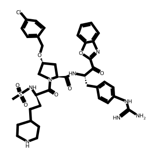 CS(=O)(=O)N[C@H](CCC1CCNCC1)C(=O)N1C[C@H](OCc2ccc(Cl)cc2)C[C@H]1C(=O)N[C@@H](Cc1ccc(NC(=N)N)cc1)C(=O)c1nc2ccccc2o1